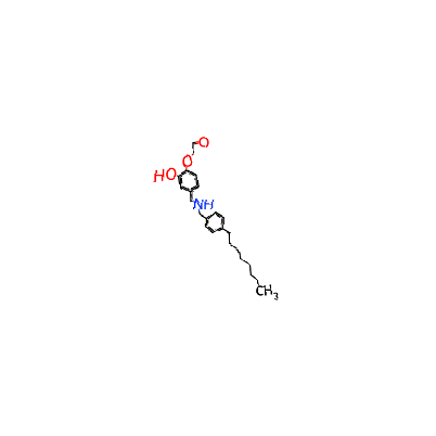 CCCCCCCCc1ccc(CNCc2ccc(OCC=O)c(O)c2)cc1